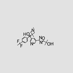 CN1CC(C)([C@](O)(c2ccc(C(C)(F)F)cc2)c2cncc(-c3noc(C(C)(C)O)n3)c2)C1